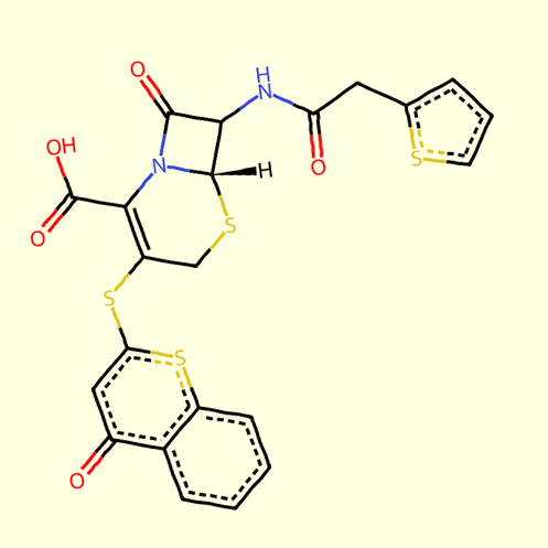 O=C(Cc1cccs1)NC1C(=O)N2C(C(=O)O)=C(Sc3cc(=O)c4ccccc4s3)CS[C@@H]12